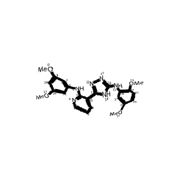 COc1cc(Nc2ncccc2-c2nnc(Nc3cc(OC)ccc3OC)[nH]2)cc(OC)c1